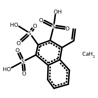 C=Cc1c(S(=O)(=O)O)c(S(=O)(=O)O)c(S(=O)(=O)O)c2ccccc12.[CaH2]